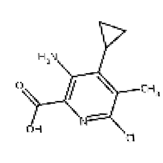 Cc1c(Cl)nc(C(=O)O)c(N)c1C1CC1